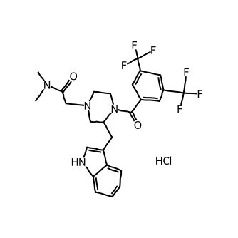 CN(C)C(=O)CN1CCN(C(=O)c2cc(C(F)(F)F)cc(C(F)(F)F)c2)C(Cc2c[nH]c3ccccc23)C1.Cl